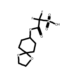 O=C(OC1CCC2(CC1)OCCO2)C(F)(F)S(=O)(=O)O